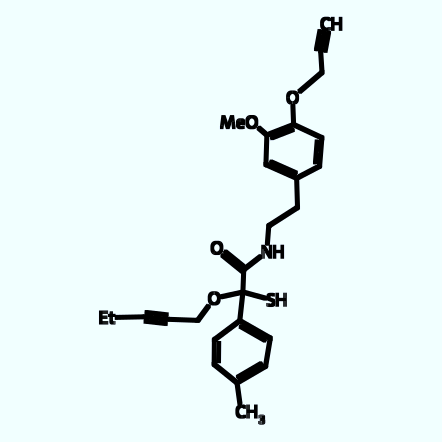 C#CCOc1ccc(CCNC(=O)C(S)(OCC#CCC)c2ccc(C)cc2)cc1OC